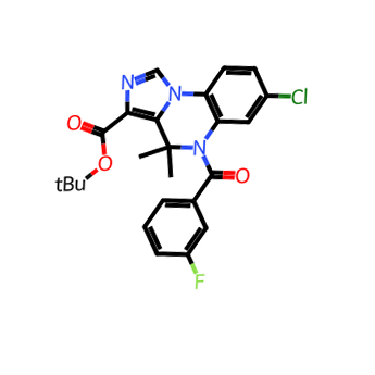 CC(C)(C)OC(=O)c1ncn2c1C(C)(C)N(C(=O)c1cccc(F)c1)c1cc(Cl)ccc1-2